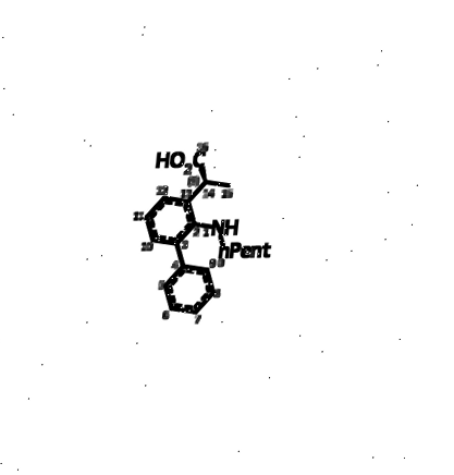 CCCCCNc1c(-c2ccccc2)cccc1[C@H](C)C(=O)O